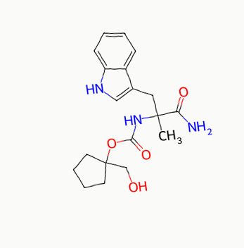 CC(Cc1c[nH]c2ccccc12)(NC(=O)OC1(CO)CCCC1)C(N)=O